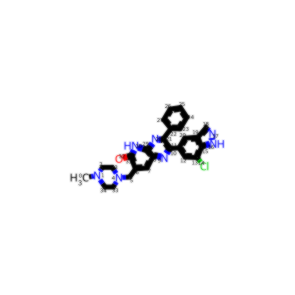 CN1CCN(Cc2cc3nc(-c4cc(Cl)c5[nH]ncc5c4)c(-c4ccccc4)nc3[nH]c2=O)CC1